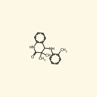 Cc1ccccc1NC1c2ccccc2NC(=O)C1(C)C